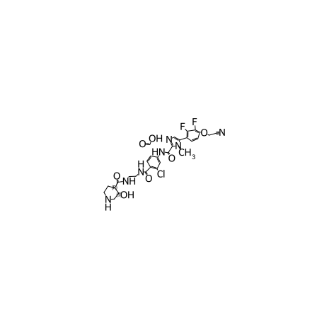 Cn1c(-c2ccc(OCC#N)c(F)c2F)cnc1C(=O)Nc1ccc(C(=O)NCCNC(=O)[C@@H]2CCNC[C@H]2O)c(Cl)c1.O=CO